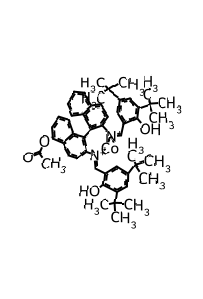 CC(=O)[O-].CC(C)(C)c1cc(C=[N+]2[Co][N+](=Cc3cc(C(C)(C)C)cc(C(C)(C)C)c3O)c3ccc4ccccc4c3-c3c2ccc2ccccc32)c(O)c(C(C)(C)C)c1